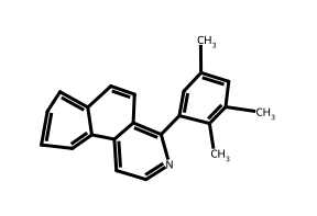 Cc1cc(C)c(C)c(-c2nccc3c2ccc2ccccc23)c1